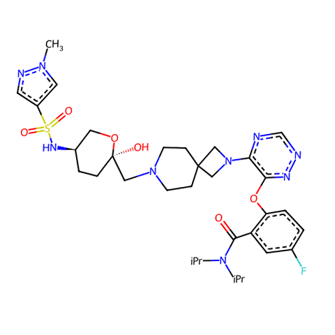 CC(C)N(C(=O)c1cc(F)ccc1Oc1nncnc1N1CC2(CCN(C[C@@]3(O)CC[C@@H](NS(=O)(=O)c4cnn(C)c4)CO3)CC2)C1)C(C)C